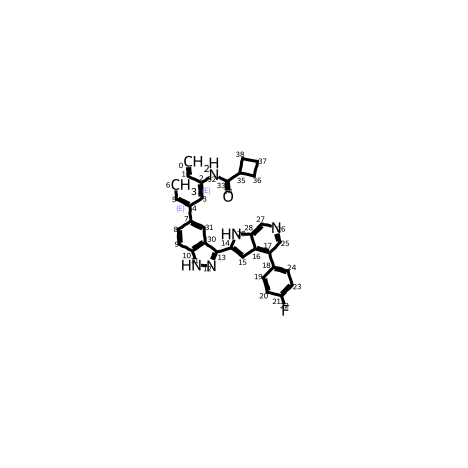 C=C/C(=C\C(=C/C)c1ccc2[nH]nc(-c3cc4c(-c5ccc(F)cc5)cncc4[nH]3)c2c1)NC(=O)C1CCC1